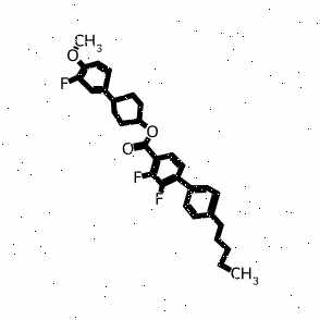 CCCCCc1ccc(-c2ccc(C(=O)OC3CCC(c4ccc(OC)c(F)c4)CC3)c(F)c2F)cc1